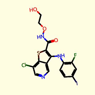 O=C(NOCCO)c1sc2c(Cl)cncc2c1Nc1ccc(I)cc1F